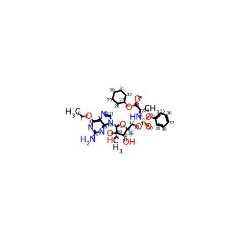 CCOc1nc(N)nc2c1ncn2[C@@H]1O[C@](F)(COP(=O)(N[C@@H](C)C(=O)OC2CCCCC2)Oc2ccccc2)[C@@H](O)[C@@]1(C)O